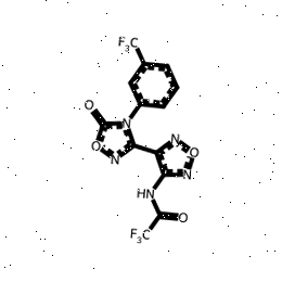 O=C(Nc1nonc1-c1noc(=O)n1-c1cccc(C(F)(F)F)c1)C(F)(F)F